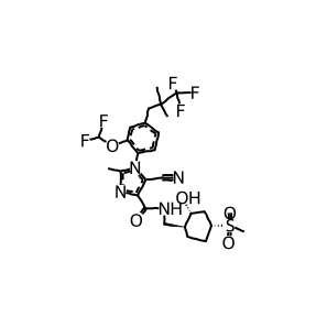 Cc1nc(C(=O)NC[C@@H]2CC[C@@H](S(C)(=O)=O)C[C@H]2O)c(C#N)n1-c1ccc(CC(C)(C)C(F)(F)F)cc1OC(F)F